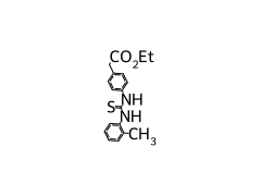 CCOC(=O)Cc1ccc(NC(=S)Nc2ccccc2C)cc1